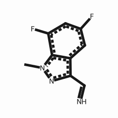 Cn1nc(C=N)c2cc(F)cc(F)c21